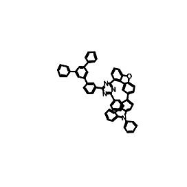 c1ccc(-c2cc(-c3ccccc3)cc(-c3cccc(-c4nc(-c5ccccc5)nc(-c5cccc6oc7ccc(-c8ccc9c(c8)c8ccccc8n9-c8ccccc8)cc7c56)n4)c3)c2)cc1